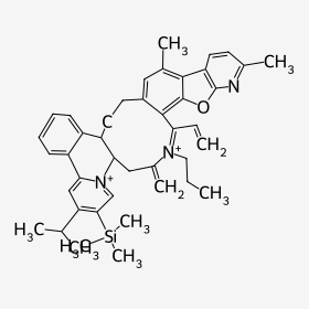 C=C/C1=[N+](\CCC)C(=C)CC2C(CCc3cc(C)c4c(oc5nc(C)ccc54)c31)c1ccccc1-c1cc(C(C)C)c([Si](C)(C)C)c[n+]12